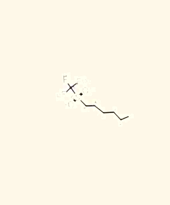 CCCCCCS(=O)(=O)C(F)(F)F